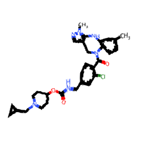 Cc1ccc2c(c1)Nc1c(cnn1C)CN2C(=O)c1ccc(CNC(=O)OC2CCN(CC3CC3)CC2)cc1Cl